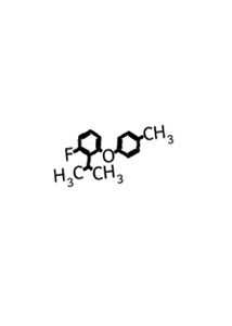 Cc1ccc(Oc2cccc(F)c2C(C)C)cc1